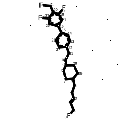 FCC=CCCC1CCC(CCc2ccc(-c3cc(F)c(CF)c(F)c3)cc2)CC1